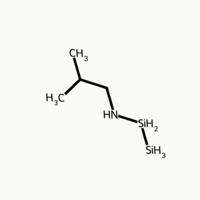 CC(C)CN[SiH2][SiH3]